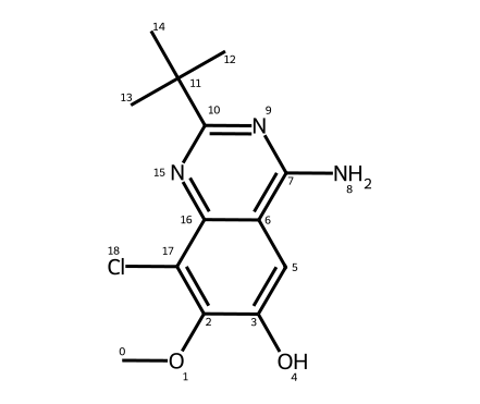 COc1c(O)cc2c(N)nc(C(C)(C)C)nc2c1Cl